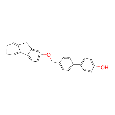 Oc1ccc(-c2ccc(COc3ccc4c(c3)Cc3ccccc3-4)cc2)cc1